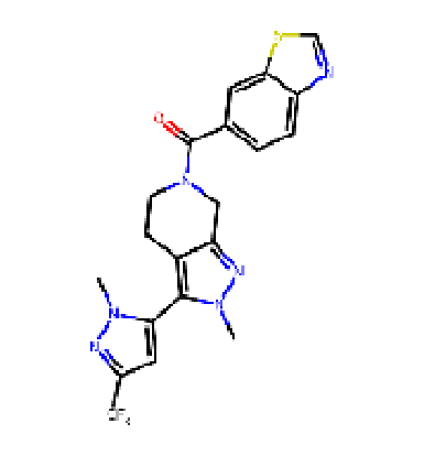 Cn1nc(C(F)(F)F)cc1-c1c2c(nn1C)CN(C(=O)c1ccc3ncsc3c1)CC2